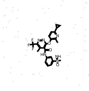 Cc1nc(C2CC2)ccc1Oc1nnc(C(F)(F)F)c(C)c1C(=O)Nc1cccc(S(C)(=N)=O)c1